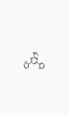 Nc1nc(-c2ccco2)cc(-c2ccco2)n1